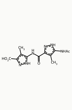 CC(=O)Nc1[nH]nc(C(=O)Nc2[nH]nc(C(=O)O)c2C)c1C